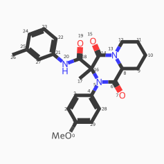 COc1ccc(N2C(=O)C3CCCCN3C(=O)C2(C)C(=O)Nc2cccc(C)c2)cc1